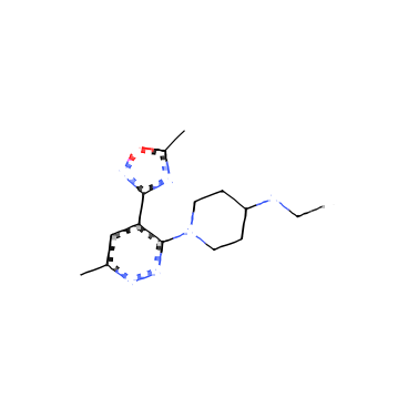 Cc1cc(-c2noc(C)n2)c(N2CCC(NCC(C)C)CC2)nn1